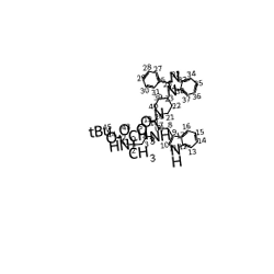 CC(C)(CC(=O)N[C@H](Cc1c[nH]c2ccccc12)C(=O)N1CCC(n2c(-c3ccccc3)nc3ccccc32)CC1)NC(=O)OC(C)(C)C